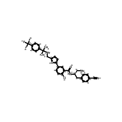 CC(C)(NCc1ccc(-c2ccc(Cl)c(C(=O)N[C@@H](CN)Cc3ccc(C#N)cc3)c2)o1)c1ccc(C(F)(F)F)cc1